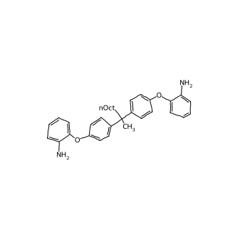 CCCCCCCCC(C)(c1ccc(Oc2ccccc2N)cc1)c1ccc(Oc2ccccc2N)cc1